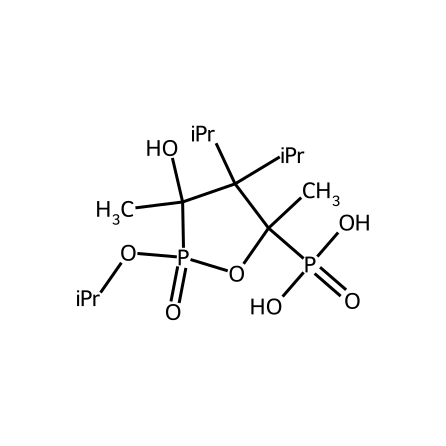 CC(C)OP1(=O)OC(C)(P(=O)(O)O)C(C(C)C)(C(C)C)C1(C)O